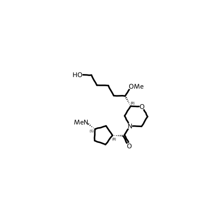 CN[C@H]1CC[C@@H](C(=O)N2CCO[C@@H](C(CCCCO)OC)C2)C1